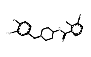 Cc1c(F)cccc1C(=O)NC1CCN(Cc2ccc(Cl)c(N)c2)CC1